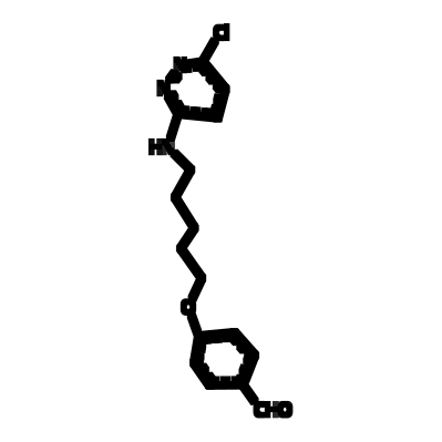 O=Cc1ccc(OCCCCCNc2ccc(Cl)nn2)cc1